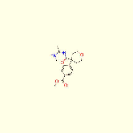 COC(=O)c1ccc(C2(C(=O)N=C(C)N(C)C)CCOCC2)cc1